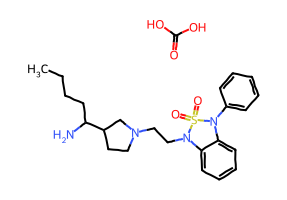 CCCCC(N)C1CCN(CCN2c3ccccc3N(c3ccccc3)S2(=O)=O)C1.O=C(O)O